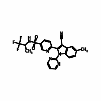 Cc1ccc2c(c1)c(C#N)c(-c1ccc(S(=O)(=O)N[C@@H](C)C(F)(F)F)cn1)n2-c1ncccn1